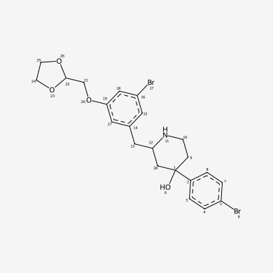 OC1(c2ccc(Br)cc2)CCNC(Cc2cc(Br)cc(OCC3OCCO3)c2)C1